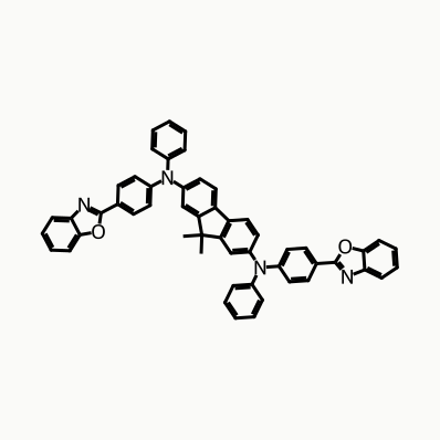 CC1(C)c2cc(N(c3ccccc3)c3ccc(-c4nc5ccccc5o4)cc3)ccc2-c2ccc(N(c3ccccc3)c3ccc(-c4nc5ccccc5o4)cc3)cc21